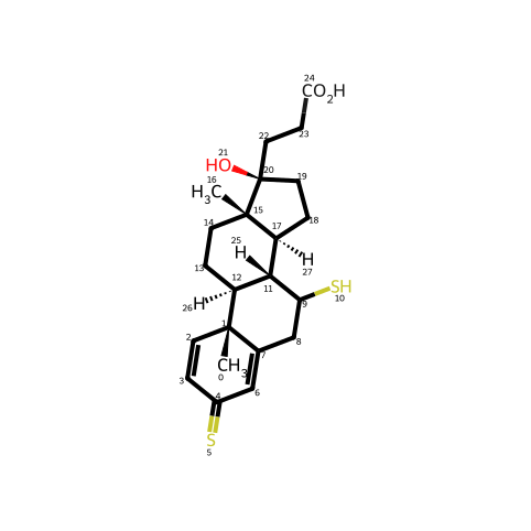 C[C@]12C=CC(=S)C=C1CC(S)[C@@H]1[C@@H]2CC[C@@]2(C)[C@H]1CC[C@@]2(O)CCC(=O)O